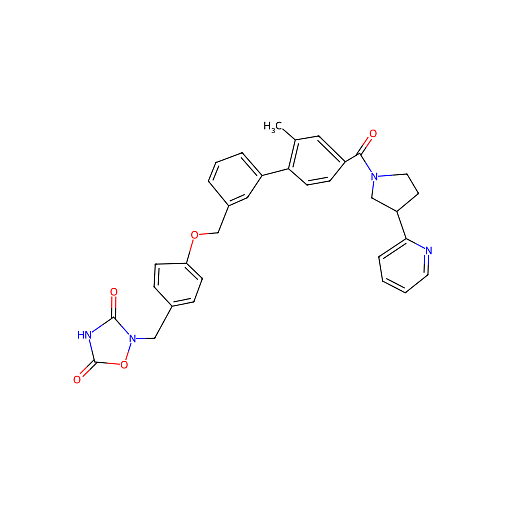 Cc1cc(C(=O)N2CCC(c3ccccn3)C2)ccc1-c1cccc(COc2ccc(Cn3oc(=O)[nH]c3=O)cc2)c1